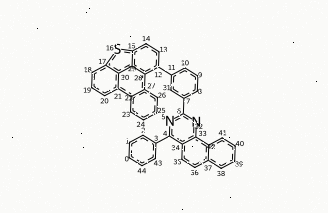 c1ccc(-c2nc(-c3cccc(-c4ccc5sc6cccc7c8ccccc8c4c5c67)c3)nc3c2ccc2ccccc23)cc1